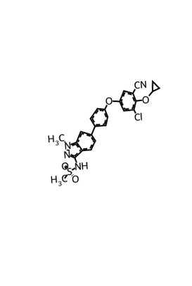 Cn1nc(NS(C)(=O)=O)c2ccc(-c3ccc(Oc4cc(Cl)c(OC5CC5)c(C#N)c4)cc3)cc21